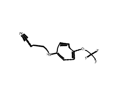 N#CCCNc1ccc(OC(F)(F)F)cc1